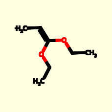 [CH2]C=C(OCC)OCC